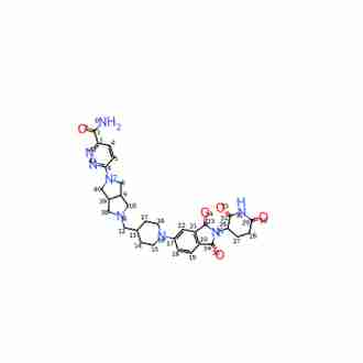 NC(=O)c1ccc(N2CC3CN(CC4CCN(c5ccc6c(c5)C(=O)N(C5CCC(=O)NC5=O)C6=O)CC4)CC3C2)nn1